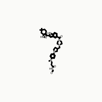 CN(CCC(=O)NC=O)c1ccc(N2CCC(CN3CCN(C(=O)c4ccc5[nH]c(-c6n[nH]c7c6CCC(C)(C)C7)cc5c4)CC3)C2)cc1